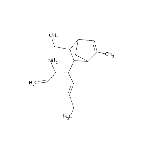 C=CC(N)C(/C=C/CC)C1C2CC(C=C2C)C1CC